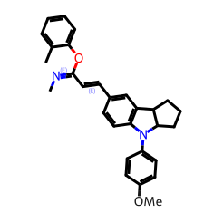 C/N=C(\C=C\c1ccc2c(c1)C1CCCC1N2c1ccc(OC)cc1)Oc1ccccc1C